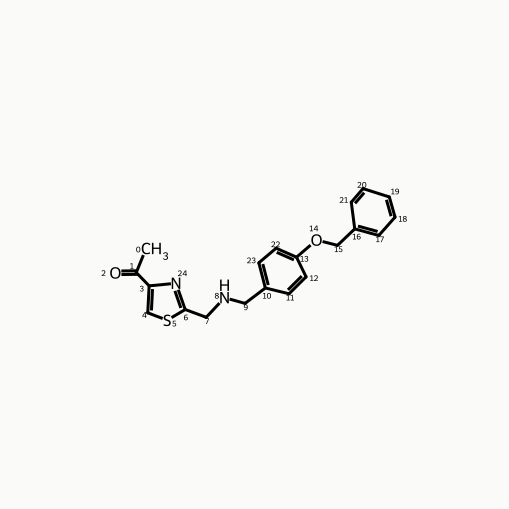 CC(=O)c1csc(CNCc2ccc(OCc3ccccc3)cc2)n1